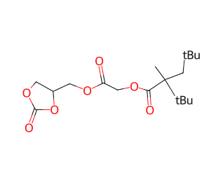 CC(C)(C)CC(C)(C(=O)OCC(=O)OCC1COC(=O)O1)C(C)(C)C